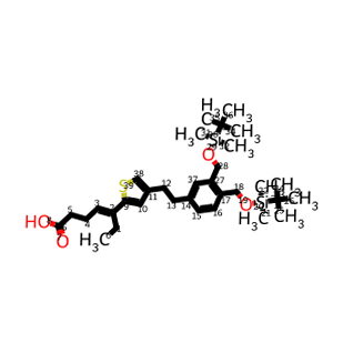 CC/C(=C\CCC(=O)O)c1cc(CCc2ccc(CO[Si](C)(C)C(C)(C)C)c(CO[Si](C)(C)C(C)(C)C)c2)cs1